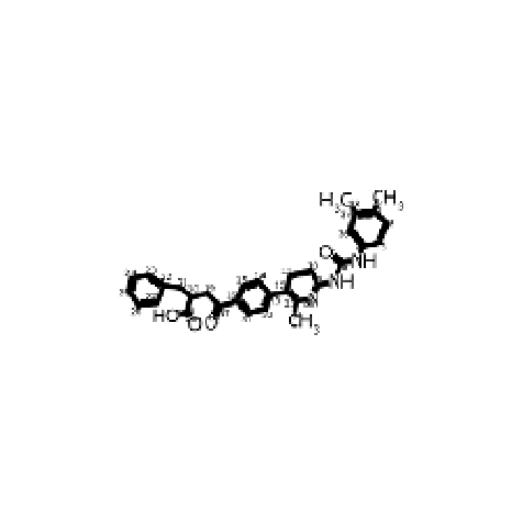 Cc1ccc(NC(=O)Nc2ccc(-c3ccc(C(=O)CC(Cc4ccccc4)C(=O)O)cc3)c(C)n2)cc1C